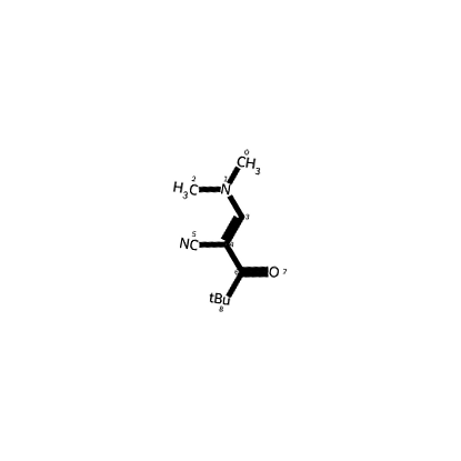 CN(C)/C=C(\C#N)C(=O)C(C)(C)C